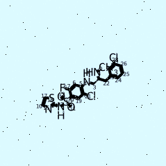 CN[C@H](CNc1cc(F)c(S(=O)(=O)Nc2nccs2)cc1Cl)Cc1cccc(Cl)c1